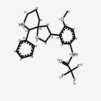 COc1ccc(NC(=O)C(F)(F)F)cc1C1COC2(CCCNC2c2ccccc2)C1